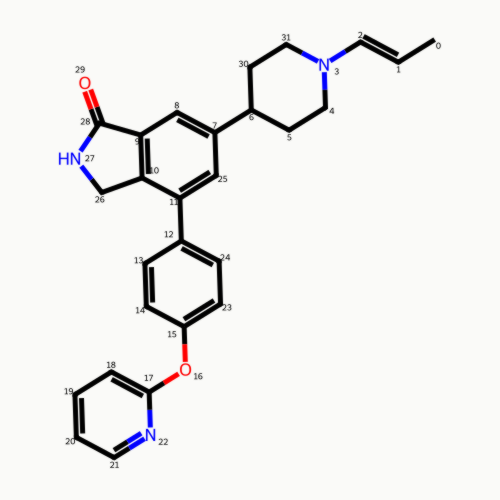 CC=CN1CCC(c2cc3c(c(-c4ccc(Oc5ccccn5)cc4)c2)CNC3=O)CC1